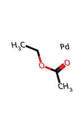 CCOC(C)=O.[Pd]